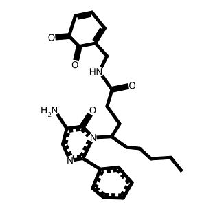 CCCCCC(CCC(=O)NCC1=CC=CC(=O)C1=O)n1c(-c2ccccc2)ncc(N)c1=O